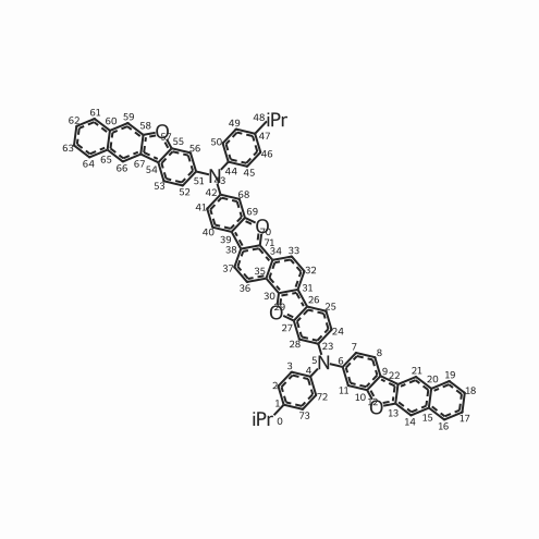 CC(C)c1ccc(N(c2ccc3c(c2)oc2cc4ccccc4cc23)c2ccc3c(c2)oc2c3ccc3c2ccc2c4ccc(N(c5ccc(C(C)C)cc5)c5ccc6c(c5)oc5cc7ccccc7cc56)cc4oc23)cc1